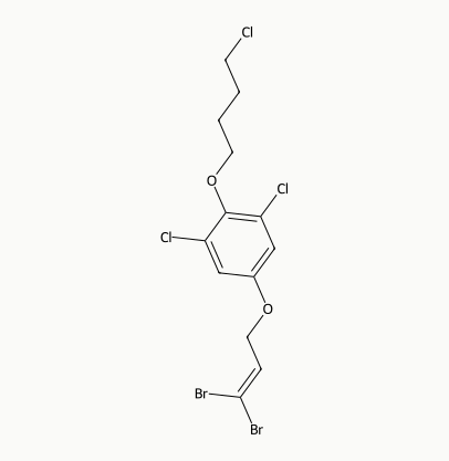 ClCCCCOc1c(Cl)cc(OCC=C(Br)Br)cc1Cl